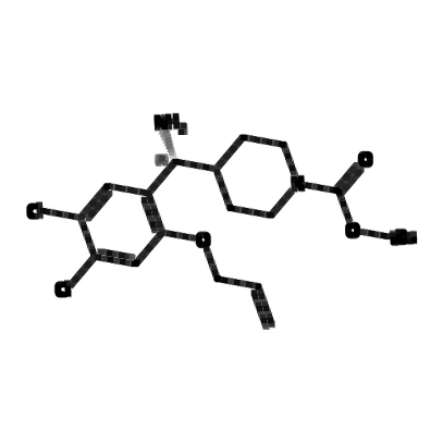 C=CCOc1cc(Cl)c(Cl)cc1[C@H](N)C1CCN(C(=O)OC(C)(C)C)CC1